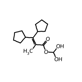 CC(C(=O)OC(O)O)=C(C1CCCC1)C1CCCC1